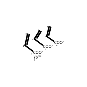 C=CC(=O)[O-].C=CC(=O)[O-].C=CC(=O)[O-].[Yb+3]